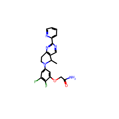 CC1c2cnc(-c3ccccn3)nc2CCN1c1cc(F)c(F)c(OCC(N)=O)c1